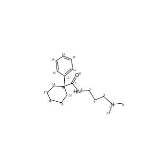 CN(C)CCCNC(=O)C1(c2ccccc2)CCCCC1